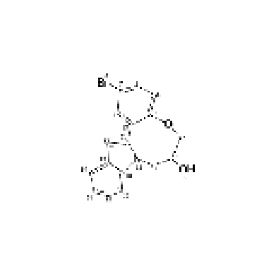 OC1COc2ccc(Br)cc2-c2cc3ccccc3n2C1